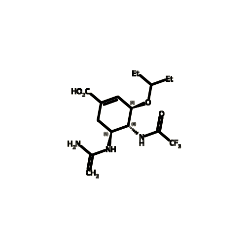 C=C(N)N[C@H]1CC(C(=O)O)=C[C@@H](OC(CC)CC)[C@@H]1NC(=O)C(F)(F)F